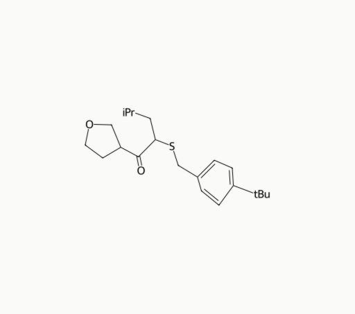 CC(C)CC(SCc1ccc(C(C)(C)C)cc1)C(=O)C1CCOC1